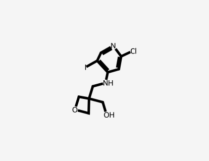 OCC1(CNc2cc(Cl)ncc2I)COC1